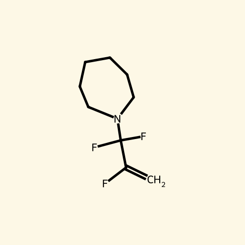 C=C(F)C(F)(F)N1CCCCCC1